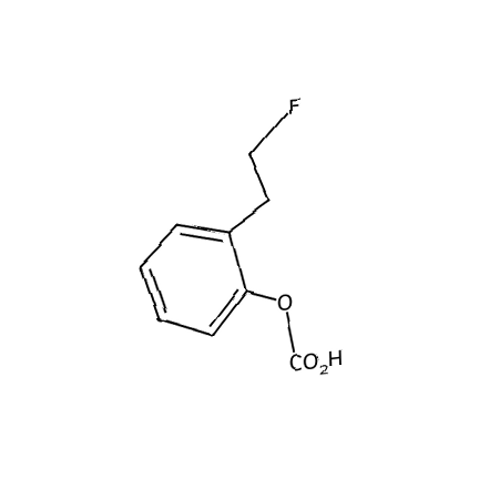 O=C(O)Oc1ccccc1CCF